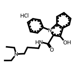 CCN(CC)CCCNC(=O)c1c(O)c2ccccc2n1-c1ccccc1.Cl